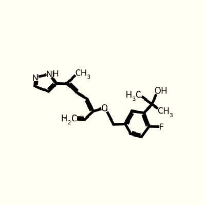 C=C/C(=C\C=C(/C)c1ccn[nH]1)OCc1ccc(F)c(C(C)(C)O)c1